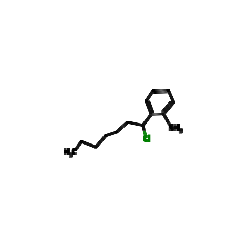 CCCCCCC(Cl)c1ccccc1[SiH3]